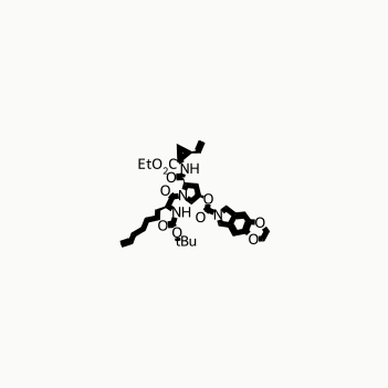 C=CCCCCC[C@H](NC(=O)OC(C)(C)C)C(=O)N1C[C@H](OC(=O)N2Cc3cc4c(cc3C2)OCCO4)C[C@H]1C(=O)N[C@]1(C(=O)OCC)C[C@H]1C=C